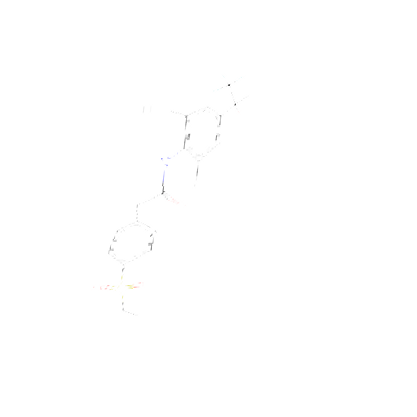 CCS(=O)(=O)c1ccc(CC(=O)Nc2c(C)cc(C(C)(O)C(F)(F)F)cc2C)cc1